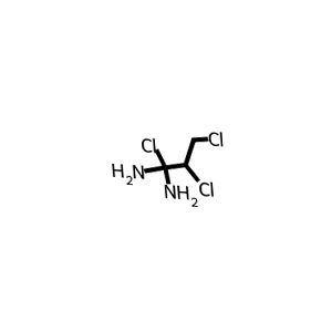 NC(N)(Cl)C(Cl)CCl